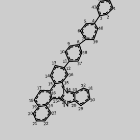 c1ccc(-c2ccc(-c3ccc(-c4ccc5c6ccc7ccccc7c6c6nc7ccccc7n6c5c4)cc3)cc2)cc1